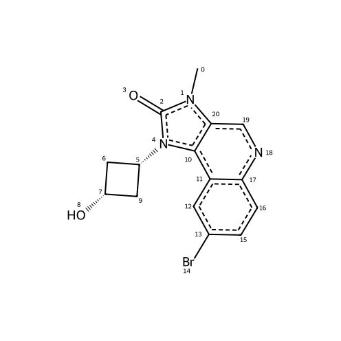 Cn1c(=O)n([C@H]2C[C@@H](O)C2)c2c3cc(Br)ccc3ncc21